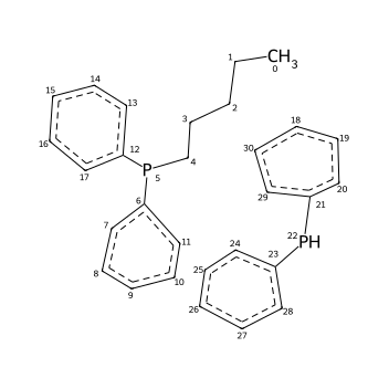 CCCCCP(c1ccccc1)c1ccccc1.c1ccc(Pc2ccccc2)cc1